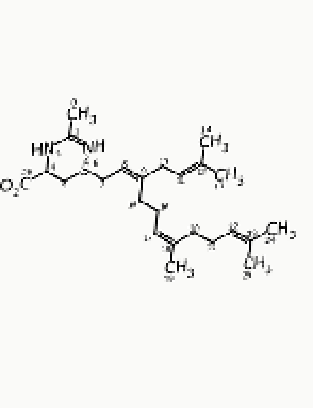 CC(=N)NC(CSCC=C(CC=C(C)C)CCC=C(C)CCC=C(C)C)C(=O)O